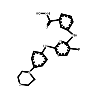 O=C(NO)c1cccc(Nc2nc(Nc3ccc(N4CCOCC4)cc3)ncc2F)c1